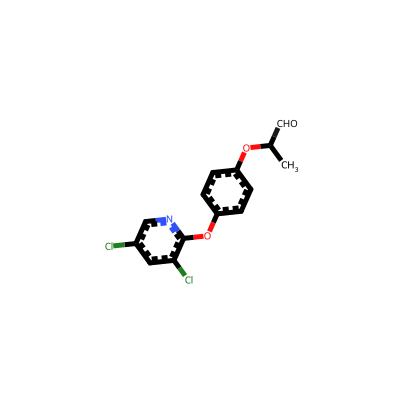 C[C](C=O)Oc1ccc(Oc2ncc(Cl)cc2Cl)cc1